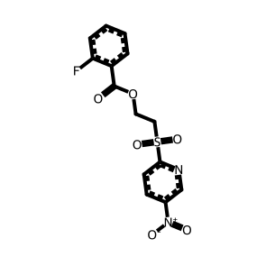 O=C(OCCS(=O)(=O)c1ccc([N+](=O)[O-])cn1)c1ccccc1F